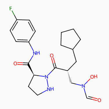 O=CN(O)C[C@@H](CC1CCCC1)C(=O)N1NCC[C@H]1C(=O)Nc1ccc(F)cc1